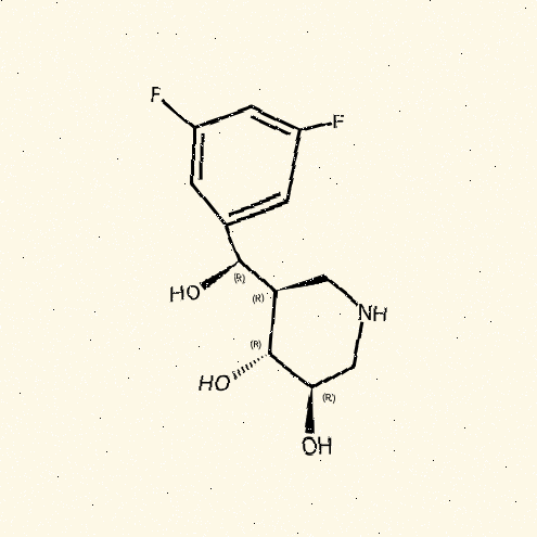 O[C@@H]1[C@@H]([C@@H](O)c2cc(F)cc(F)c2)CNC[C@H]1O